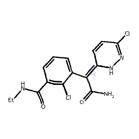 CCNC(=O)c1cccc(/C(C(N)=O)=C2\C=CC(Cl)=NN2)c1Cl